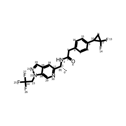 C[C@@H](NC(=O)Cc1ccc(C2CC2(F)F)cc1)c1cc2cnn(CC(F)(F)F)c2cn1